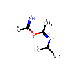 CC(=N)O/C(C)=N\C(C)C